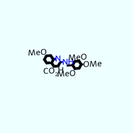 COc1cc(OC)c(CNc2nc3cc(OC)ccc3cc2C(=O)O)c(OC)c1